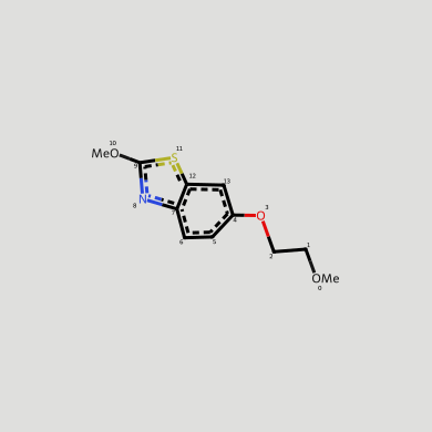 COCCOc1ccc2nc(OC)sc2c1